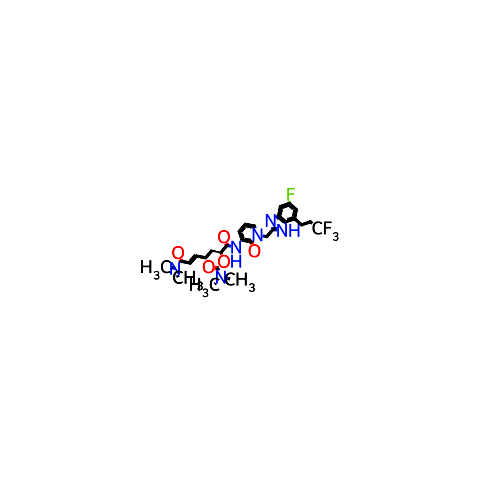 CN(C)C(=O)/C=C/CC[C@H](OC(=O)N(C)C)C(=O)Nc1cccn(Cc2nc3cc(F)cc(CCC(F)(F)F)c3[nH]2)c1=O